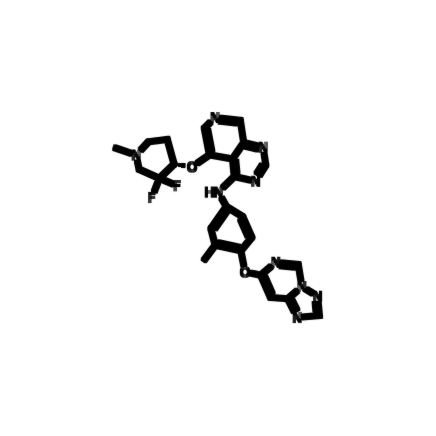 Cc1cc(Nc2ncnc3cncc(O[C@H]4CCN(C)CC4(F)F)c23)ccc1Oc1cc2ncnn2cn1